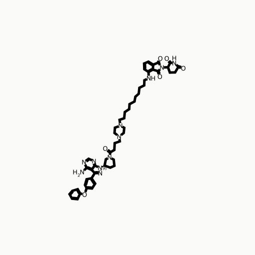 Nc1ncnc2c1c(-c1ccc(Oc3ccccc3)cc1)nn2[C@@H]1CCCN(C(=O)CCCN2CCN(CCCCCCCCCCCNc3cccc4c3C(=O)N(C3CCC(=O)NC3=O)C4=O)CC2)C1